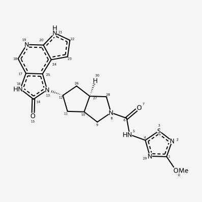 COc1nsc(NC(=O)N2CC3C[C@H](n4c(=O)[nH]c5cnc6[nH]ccc6c54)C[C@H]3C2)n1